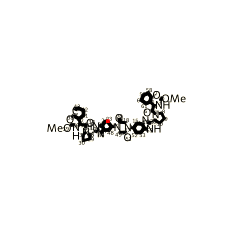 COC(=O)N[C@@H](C(=O)N1CCC[C@H]1c1nc2cc(N3CC(=O)N(c4ccc5[nH]c([C@@H]6CCCN6C(=O)[C@H](NC(=O)OC)c6ccccc6)nc5c4)CC3=O)ccc2[nH]1)c1ccccc1